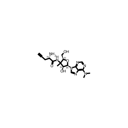 C#CC[C@H](N)C(=O)NC1(C)[C@H](O)[C@H](n2cnc3c(N(C)C)ncnc32)O[C@@H]1CO